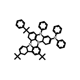 CC(C)(C)c1cc2c3c(c1)C1CC(C(C)(C)C)C=CC1N3C1CC(C(C)(C)c3ccccc3)=CC3=C1B2C1CC=C(N(c2ccccc2)c2ccccc2)C=C1N3c1ccccc1